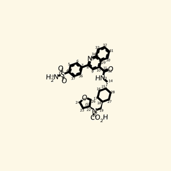 NS(=O)(=O)c1ccc(-c2cc(C(=O)NC[C@H]3CC[C@H](CN(C(=O)O)[C@H]4CCOC4)CC3)c3ccccc3n2)cc1